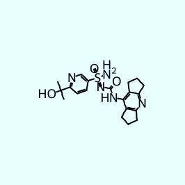 CC(C)(O)c1ccc([S@](N)(=O)=NC(=O)Nc2c3c(nc4c2CCC4)CCC3)cn1